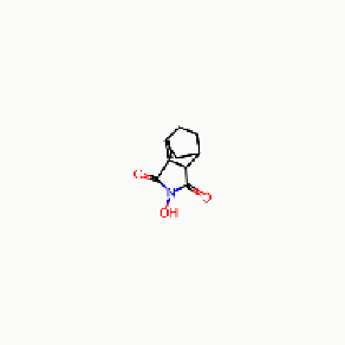 O=C1C2=C3CCC(C3)C2C(=O)N1O